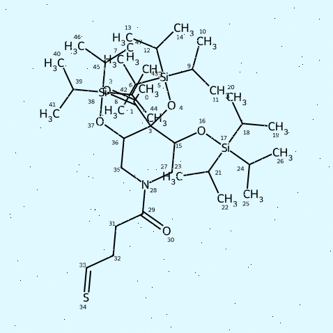 CC(=O)C1(O[Si](C(C)C)(C(C)C)C(C)C)C(O[Si](C(C)C)(C(C)C)C(C)C)CN(C(=O)CCC=S)CC1O[Si](C(C)C)(C(C)C)C(C)C